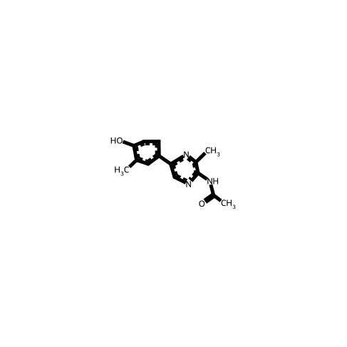 CC(=O)Nc1ncc(-c2ccc(O)c(C)c2)nc1C